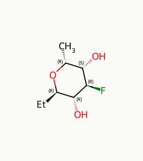 CC[C@H]1O[C@H](C)[C@H](O)[C@@H](F)[C@@H]1O